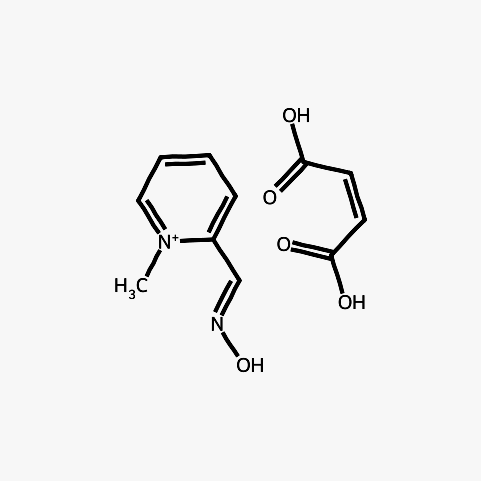 C[n+]1ccccc1C=NO.O=C(O)/C=C\C(=O)O